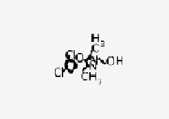 CCc1nn(CCO)c(CC)c1Oc1ccc(Cl)cc1Cl